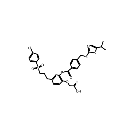 CC(C)c1cnc(SCc2ccc(C(=O)Nc3cc(CCCS(=O)(=O)c4ccc(Cl)cc4)ccc3OCC(=O)O)cc2)s1